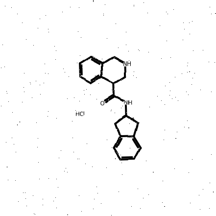 Cl.O=C(NC1Cc2ccccc2C1)C1CNCc2ccccc21